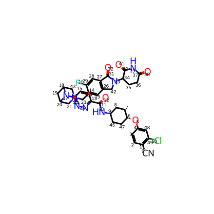 N#Cc1ccc(O[C@H]2CC[C@H](NC(=O)c3ccc(N4C5CC4CN(Cc4cc6c(cc4F)C(=O)N(C4CCC(=O)NC4=O)C6)C5)nn3)CC2)cc1Cl